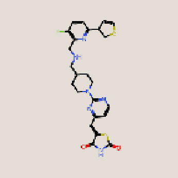 O=C1NC(=O)/C(=C/c2ccnc(N3CCC(CNCc4nc(C5C=CSC5)ccc4F)CC3)n2)S1